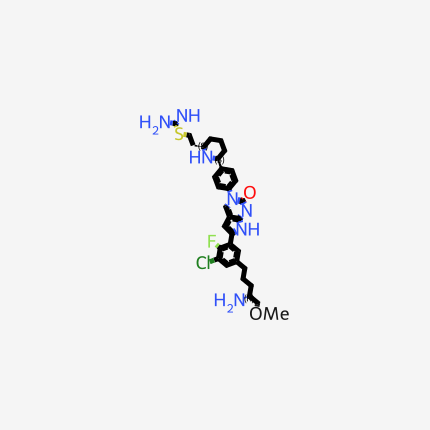 COC[C@H](N)CCCc1cc(Cl)c(F)c(-c2cc3cn(-c4ccc([C@@H]5CCC[C@@H](CCSC(=N)N)N5)cc4)c(=O)nc3[nH]2)c1